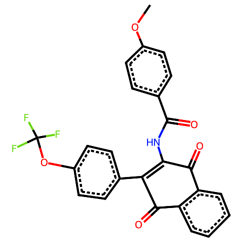 COc1ccc(C(=O)NC2=C(c3ccc(OC(F)(F)F)cc3)C(=O)c3ccccc3C2=O)cc1